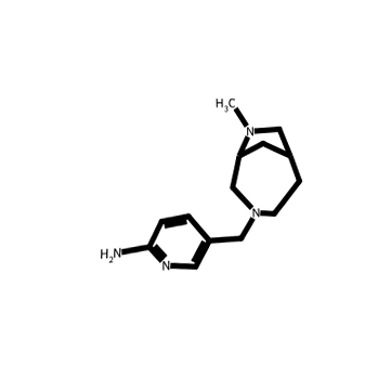 CN1CC2CCN(Cc3ccc(N)nc3)CC1C2